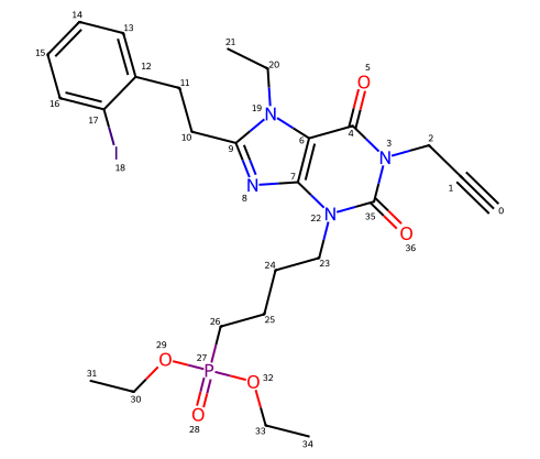 C#CCn1c(=O)c2c(nc(CCc3ccccc3I)n2CC)n(CCCCP(=O)(OCC)OCC)c1=O